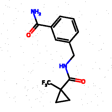 NC(=O)c1cccc(CNC(=O)C2(C(F)(F)F)CC2)c1